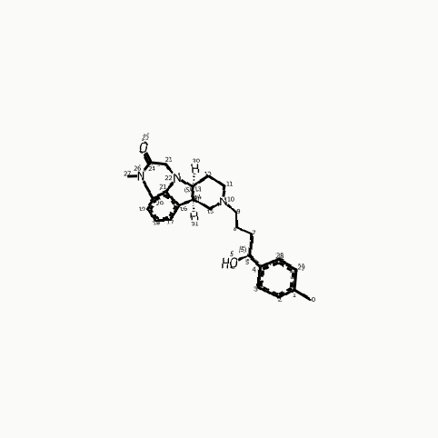 Cc1ccc([C@@H](O)CCCN2CC[C@H]3[C@@H](C2)c2cccc4c2N3CC(=O)N4C)cc1